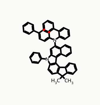 CC1(C)c2ccccc2-c2c1ccc1c2c2c3ccccc3c(N(c3ccc(-c4ccccc4)cc3)c3ccccc3-c3ccccc3)cc2n1-c1ccccc1